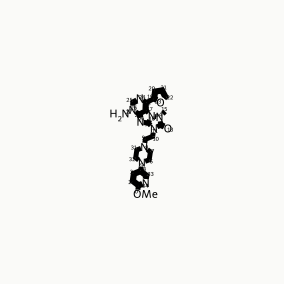 COc1ccc(N2CCN(CCN3C(=O)N(C)N4C5=C(c6ccco6)N=CN(N)C5=NC34)CC2)cn1